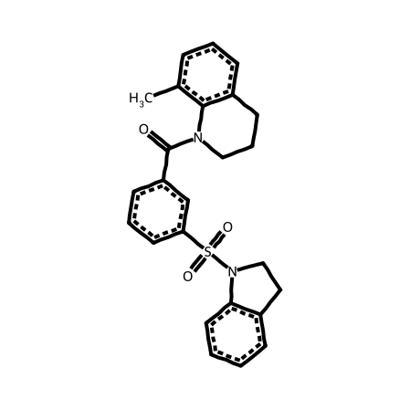 Cc1cccc2c1N(C(=O)c1cccc(S(=O)(=O)N3CCc4ccccc43)c1)CCC2